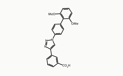 COc1cccc(OC)c1-c1ccc(-n2cc(-c3cccc(C(=O)O)c3)nn2)cc1